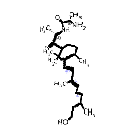 CC1=C(/C=C/C(C)=C/C=C/C(C)CCO)C(C)(C)C(C(=O)[C@H](C)NC(=O)[C@H](C)N)CC1